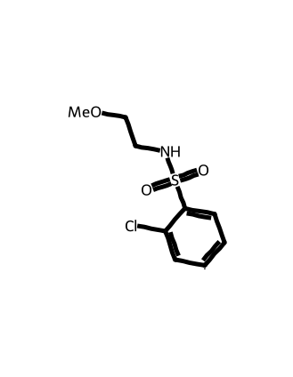 COCCNS(=O)(=O)c1cc[c]cc1Cl